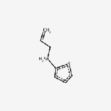 C=C[CH2][SnH2][c]1cccs1